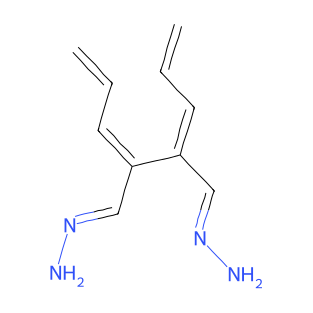 C=CC=C(/C=N/N)C(/C=N/N)=C\C=C